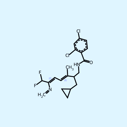 C=N/C(=C\C=C(/C)C(CNC(=O)c1ccc(Cl)cc1Cl)CC1CC1)C(F)F